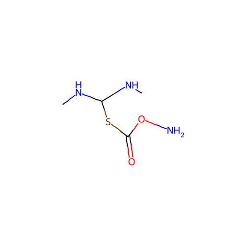 CNC(NC)SC(=O)ON